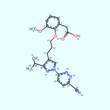 COc1cccc(CC(=O)O)c1OCCCc1cn(-c2ccc(C#N)nn2)nc1C(C)C